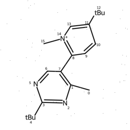 Cc1nc(C(C)(C)C)ncc1-c1ccc(C(C)(C)C)c[n+]1C